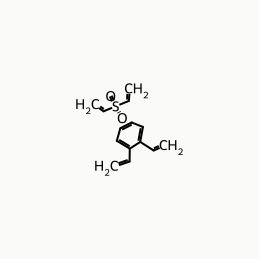 C=CS(=O)(=O)C=C.C=Cc1ccccc1C=C